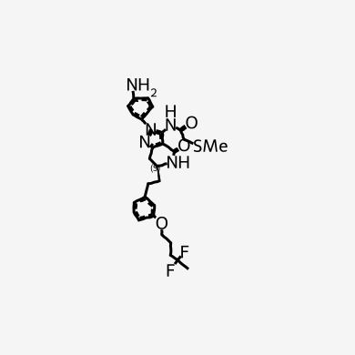 CSCC(=O)Nc1c2c(nn1-c1ccc(N)cc1)C[C@H](CCc1cccc(OCCCC(C)(F)F)c1)NC2=O